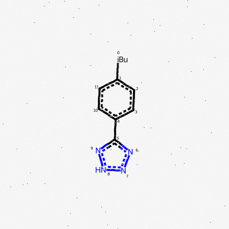 CCC(C)c1ccc(-c2nn[nH]n2)cc1